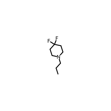 CCCN1CCC(F)(F)CC1